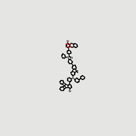 CC1(C)c2ccc(-c3ccc4c(c3)nc(-c3ccc(-c5ccc(Br)c6c5C5c7ccccc7C6c6ccccc65)cc3)n4-c3ccccc3)cc2-c2ccc(N(c3cccc(-c4ccccc4)c3)c3cccc(-c4ccc(Br)c5c4C4c6ccccc6C46c4ccccc4C56)c3)cc21